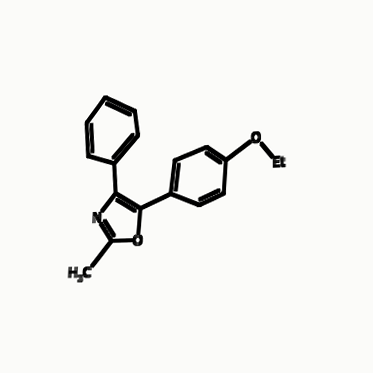 CCOc1ccc(-c2oc(C)nc2-c2ccccc2)cc1